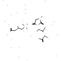 CC(O)CO.CN1CC(=O)NC1=N.C[N+](C)(C)CC(O)CC(=O)[O-].NCC(=O)O